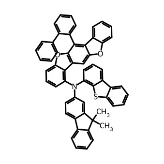 CC1(C)c2ccccc2-c2ccc(N(c3cccc4c3sc3ccccc34)c3cccc4oc5c(-c6ccccc6-c6ccccc6)c6c(cc5c34)oc3ccccc36)cc21